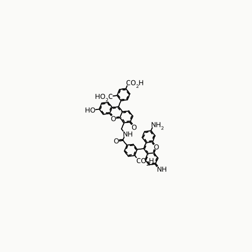 N=c1ccc2c(-c3cc(C(=O)NCc4c5oc6cc(O)ccc6c(-c6ccc(C(=O)O)cc6C(=O)O)c-5ccc4=O)ccc3C(=O)O)c3ccc(N)cc3oc-2c1